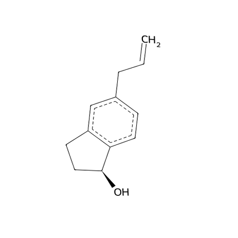 C=CCc1ccc2c(c1)CC[C@@H]2O